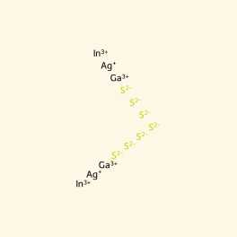 [Ag+].[Ag+].[Ga+3].[Ga+3].[In+3].[In+3].[S-2].[S-2].[S-2].[S-2].[S-2].[S-2].[S-2]